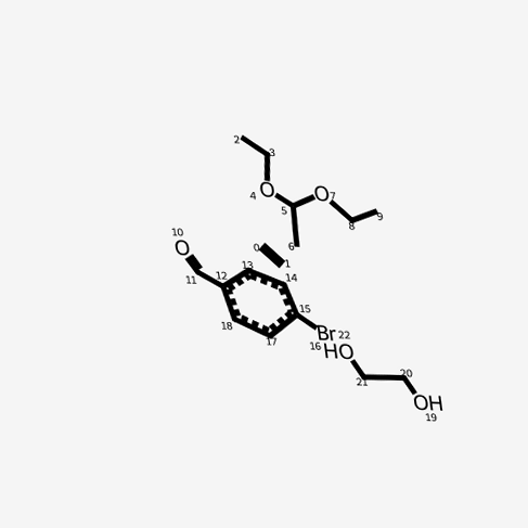 C=C.CCOC(C)OCC.O=Cc1ccc(Br)cc1.OCCO